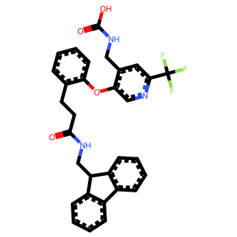 O=C(O)NCc1cc(C(F)(F)F)ncc1Oc1ccccc1CCC(=O)NCC1c2ccccc2-c2ccccc21